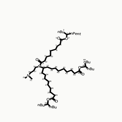 CCCCCC(CCCC)OC(=O)CCCCCCCC(=O)N(CCCN(C)C)C(CCCCCCCCC(=O)OC(CCCC)CCCC)CCCCCCCCC(=O)OC(CCCC)CCCC